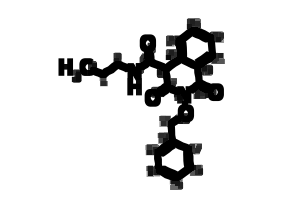 CCCNC(=O)C1C(=O)N(OCc2ccccc2)C(=O)c2ccccc21